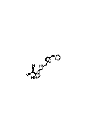 N#CC(C#N)=C1NCCN1CCNCc1ccc(CN2CCCC2)o1